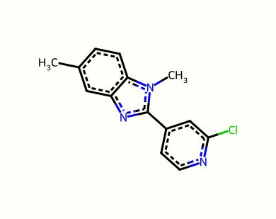 Cc1ccc2c(c1)nc(-c1ccnc(Cl)c1)n2C